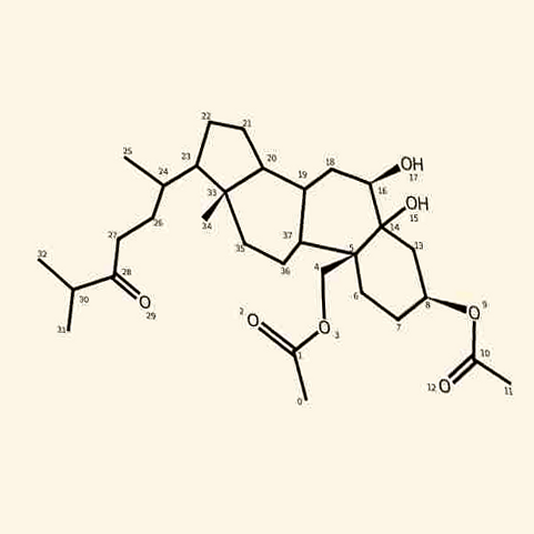 CC(=O)OC[C@]12CC[C@H](OC(C)=O)CC1(O)[C@H](O)CC1C3CCC(C(C)CCC(=O)C(C)C)[C@@]3(C)CCC12